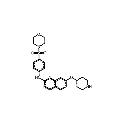 O=S(=O)(c1ccc(Nc2ncc3ccc(OC4CCNCC4)cc3n2)cc1)N1CCOCC1